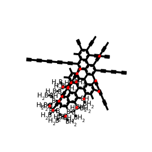 BBB(B)B(B(B)B)c1c(B(B(B)B)B(B)B)c(B(BB)B(B)B)c(B(B)B(B)B)c2c(B(B)BB)c(-c3c4c(C)c(C)c(C)c(C)c4c(-c4c(C#CC#CC#CC)c(C#CC#CC#C)c(C#CC#CC)c5c4c(C#CC#CC#CC#CC)c(C#CC#CC#CC#CC#C)c4c(C)c(C#C)c(C#CC)c(C#CC#C)c45)c4c(C)c(C)c(C)c(C)c34)c(BB)c(B)c12